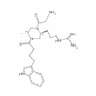 C[C@@H]1CN(C(=O)CN)[C@@H](CCCNC(=N)N)CN1C(=O)CCCc1c[nH]c2ccccc12